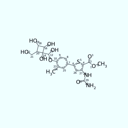 COC(=O)c1sc(-c2ccc(OC(O)C3(O)C(O)C(O)C3CO)c(C)c2)cc1NC(N)=O